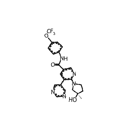 C[C@@]1(O)CCN(c2ncc(C(=O)Nc3ccc(OC(F)(F)F)cc3)cc2-c2cncnc2)C1